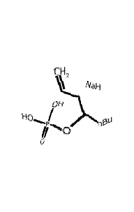 C=CCC(CCCC)OP(=O)(O)O.[NaH]